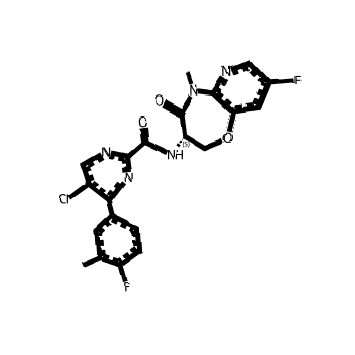 Cc1cc(-c2nc(C(=O)N[C@H]3COc4cc(F)cnc4N(C)C3=O)ncc2Cl)ccc1F